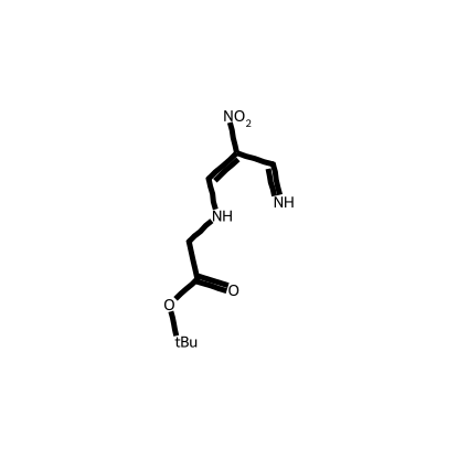 CC(C)(C)OC(=O)CN/C=C(\C=N)[N+](=O)[O-]